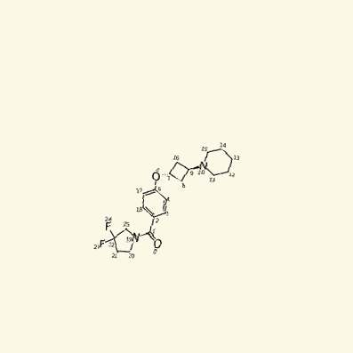 O=C(c1ccc(O[C@H]2C[C@H](N3CCCCC3)C2)cc1)N1CCC(F)(F)C1